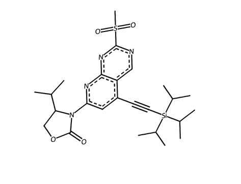 CC(C)C1COC(=O)N1c1cc(C#C[Si](C(C)C)(C(C)C)C(C)C)c2cnc(S(C)(=O)=O)nc2n1